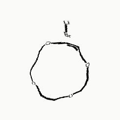 C1=C\OCCOCCOCCO/1.[Li][Br]